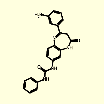 Bc1cccc(C2=Nc3ccc(NC(=O)Nc4ccccc4)cc3NC(=O)C2)c1